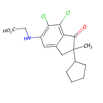 CC1(C2CCCC2)Cc2cc(NCC(=O)O)c(Cl)c(Cl)c2C1=O